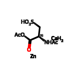 CC(=O)N[C@H](CS(=O)(=O)O)C(=O)OC(C)=O.[CaH2].[Zn]